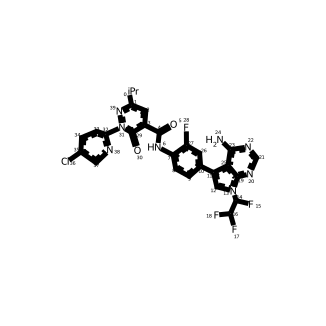 CC(C)c1cc(C(=O)Nc2ccc(-c3cn(C(F)C(F)F)c4ncnc(N)c34)cc2F)c(=O)n(-c2ccc(Cl)cn2)n1